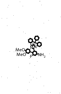 COc1ccc(-c2c(F)cc(N)cc2-c2nnn(C(c3ccccc3)(c3ccccc3)c3ccccc3)n2)cc1OC